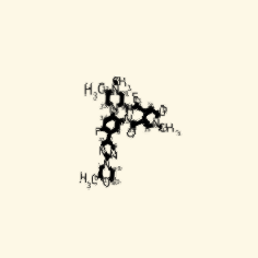 C[C@H]1CN(c2ncc(-c3cc(NC(=O)c4cn(C)c(=O)cc4C(F)F)c(N4CCN(C)[C@@H](C)C4)cc3F)cn2)CCO1